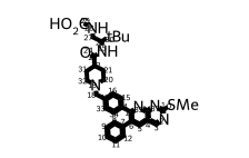 CSc1ncc2cc(-c3ccccc3)c(-c3ccc(CN4CCC(C(=O)NC(CNC(=O)O)C(C)(C)C)CC4)cc3)nc2n1